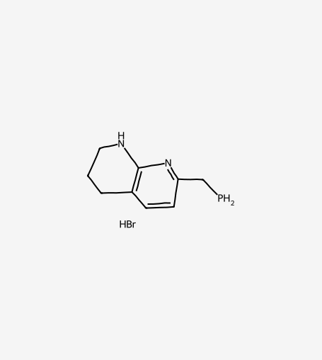 Br.PCc1ccc2c(n1)NCCC2